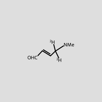 [2H]C([2H])(C=CC=O)NC